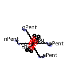 CCCCC/C=C\C/C=C\CCCCCCCC(=O)O[C@@H]([C@H](OC(=O)CCCCCCC/C=C\C/C=C\CCCCC)[C@@H](CO[Si](c1ccccc1)(c1ccccc1)C(C)(C)C)OC(=O)CCCCCCC/C=C\C/C=C\CCCCC)[C@@H](CO[Si](c1ccccc1)(c1ccccc1)C(C)(C)C)OC(=O)CCCCCCC/C=C\C/C=C\CCCCC